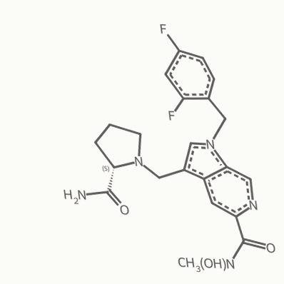 CN(O)C(=O)c1cc2c(CN3CCC[C@H]3C(N)=O)cn(Cc3ccc(F)cc3F)c2cn1